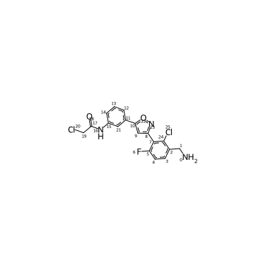 NCc1ccc(F)c(-c2cc(-c3cccc(NC(=O)CCl)c3)on2)c1Cl